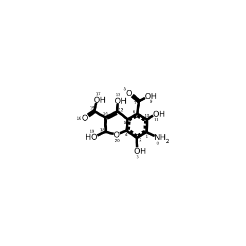 Nc1c(O)c2c(c(C(=O)O)c1O)C(O)=C(C(=O)O)C(O)O2